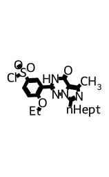 CCCCCCCc1nc(C)c2c(=O)[nH]c(-c3cc(S(=O)(=O)Cl)ccc3OCC)nn12